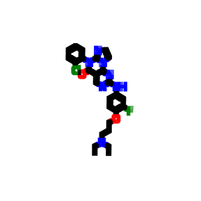 CCN(CC)CCCOc1ccc(Nc2ncc3c(=O)n(-c4ccccc4Cl)c4nccn4c3n2)cc1F